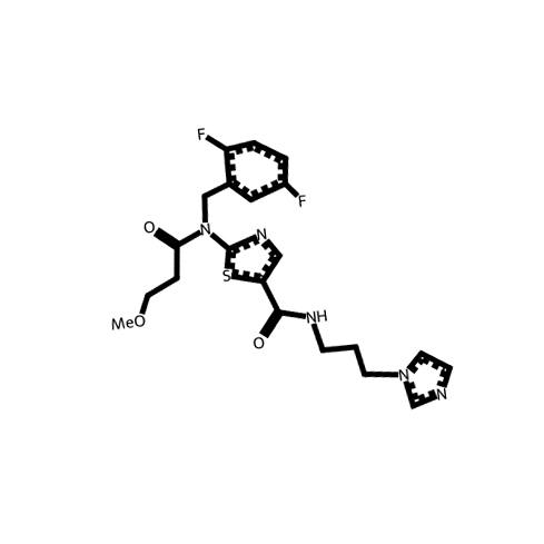 COCCC(=O)N(Cc1cc(F)ccc1F)c1ncc(C(=O)NCCCn2ccnc2)s1